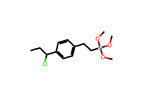 CCC(Cl)c1ccc(CC[Si](OC)(OC)OC)cc1